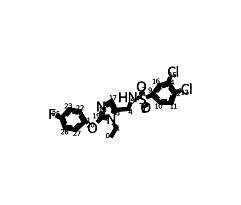 CCn1c(CNS(=O)(=O)c2ccc(Cl)c(Cl)c2)cnc1Oc1ccc(F)cc1